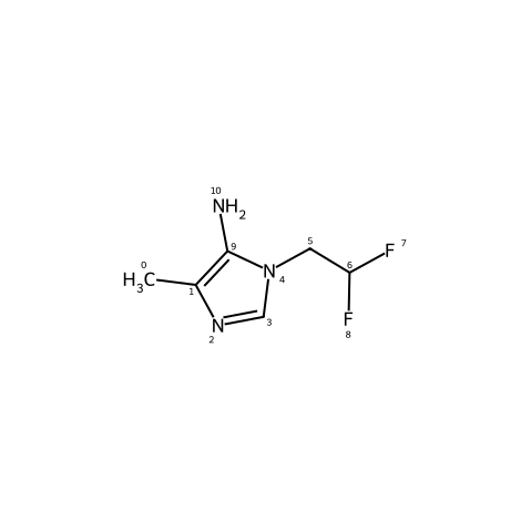 Cc1ncn(CC(F)F)c1N